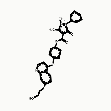 Cc1c(C(=O)Nc2ccc(Oc3ccnc4cc(OCCO)ccc34)cc2)c(=O)n(-c2ccccc2)n1C